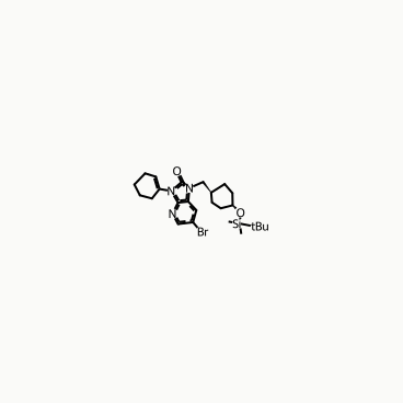 CC(C)(C)[Si](C)(C)O[C@H]1CC[C@@H](Cn2c(=O)n(C3=CCCCC3)c3ncc(Br)cc32)CC1